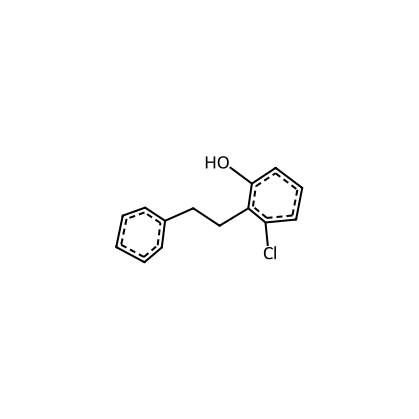 Oc1cccc(Cl)c1CCc1ccccc1